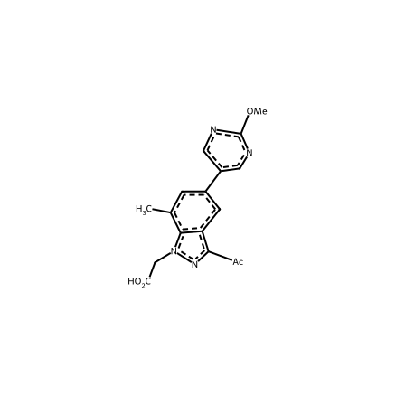 COc1ncc(-c2cc(C)c3c(c2)c(C(C)=O)nn3CC(=O)O)cn1